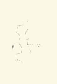 [2H]C([2H])(OC)c1cc(OC)ccc1-c1ccc(O)cc1